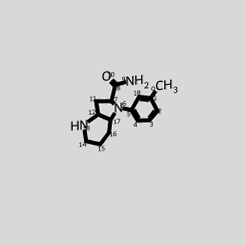 Cc1cccc(N2C(C(N)=O)CC3NCCCC32)c1